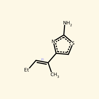 CC/C=C(\C)c1csc(N)n1